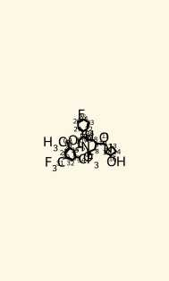 C[C@@H](O[C@H]1CN2C(=O)CC(C(=O)N3CCC(O)C3)C[C@H]2[C@@H]1c1ccc(F)cc1)c1cc(C(F)(F)F)cc(C(F)(F)F)c1